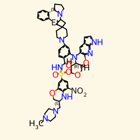 CCc1ccccc1[C@@H]1CCCN1C1CC2(CCN(c3ccc(C(=O)NS(=O)(=O)c4cc5c(c([N+](=O)[O-])c4)N[C@@H](CN4CCN(C)CC4)CO5)c(N4c5cc6cc[nH]c6nc5O[C@@H]5COCC[C@H]54)c3)CC2)C1